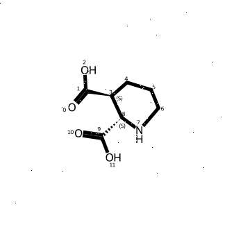 O=C(O)[C@H]1CCCN[C@@H]1C(=O)O